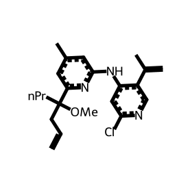 C=CCC(CCC)(OC)c1cc(C)cc(Nc2cc(Cl)ncc2C(=C)C)n1